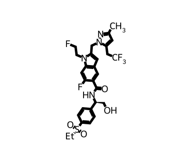 CCS(=O)(=O)c1ccc([C@H](CO)NC(=O)c2cc3cc(Cn4nc(C)cc4CC(F)(F)F)n(CCF)c3cc2F)cc1